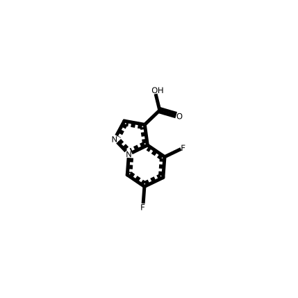 O=C(O)c1cnn2cc(F)cc(F)c12